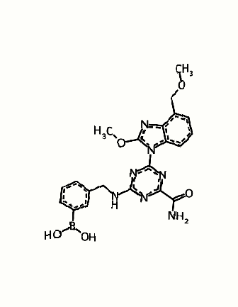 COCc1cccc2c1nc(OC)n2-c1nc(NCc2cccc(B(O)O)c2)nc(C(N)=O)n1